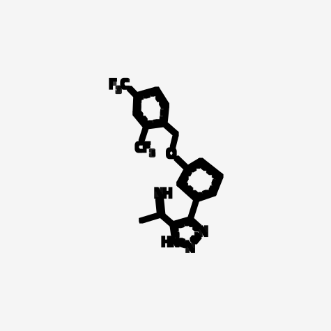 CC(=N)c1[nH]nnc1-c1cccc(OCc2ccc(C(F)(F)F)cc2C(F)(F)F)c1